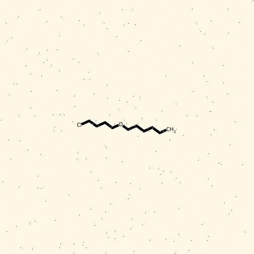 [CH2]CCCCCOCCCCCl